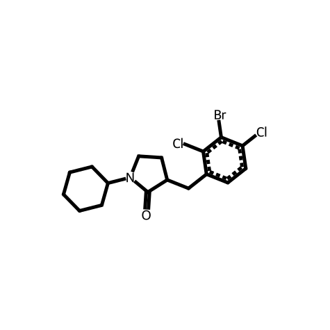 O=C1C(Cc2ccc(Cl)c(Br)c2Cl)CCN1C1CCCCC1